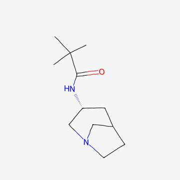 CC(C)(C)C(=O)N[C@@H]1CC2CCN(C2)C1